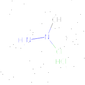 CN(N)Cl.Cl